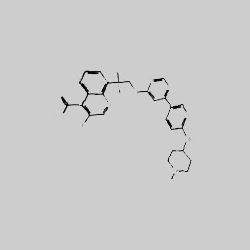 CC[C@@](C)(CNc1cc(-c2ccc(NC3CCN(C(C)=O)CC3)nc2)ncn1)c1cccc2c(C(=O)NC)c(F)cnc12